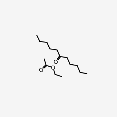 CCCCCC(=O)CCCCC.CCOC(C)=O